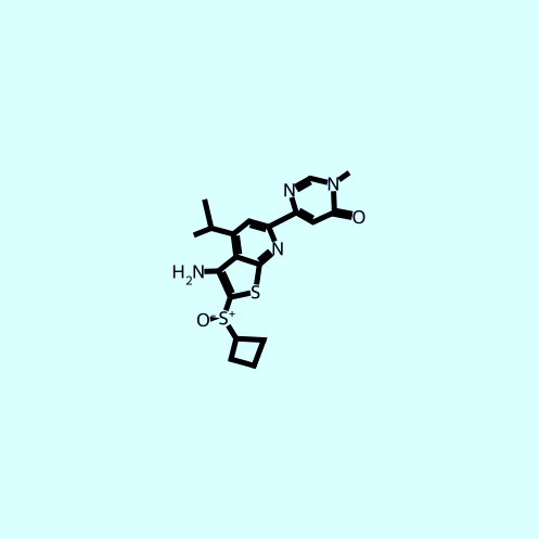 CC(C)c1cc(-c2cc(=O)n(C)cn2)nc2sc([S@+]([O-])C3CCC3)c(N)c12